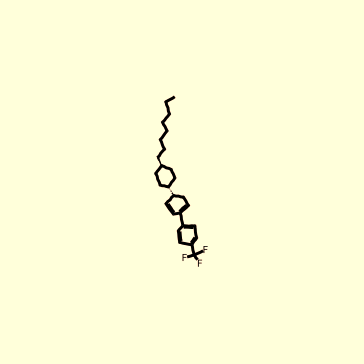 CCCCCCCC[C@H]1CC[C@H](C2C=CC(c3ccc(C(F)(F)F)cc3)=CC2)CC1